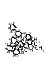 CC1(C)CCC(C)(C)c2c(-c3cc4c(cc3N(c3ccccc3)c3ccc(-c5ccccc5)cc3)C3(C5=C(CCC=C5)c5ccccc53)c3ccccc3-4)cccc21